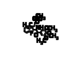 COc1cc(C(=O)C(=N)CC(C)(CCOS(C)(=O)=O)c2ccccc2F)cc(OC)c1OC